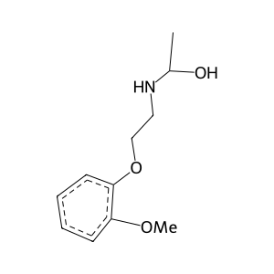 COc1ccccc1OCCNC(C)O